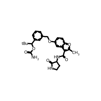 Cc1oc2ccc(OCc3cccc(C(OC(N)=O)C(C)(C)C)c3)cc2c1C(=O)NC1CCNC1=O